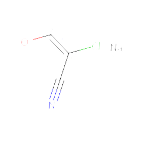 N#C/C(Cl)=C\[O-].[Na+]